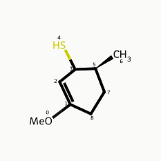 COC1=CC(S)[C@@H](C)CC1